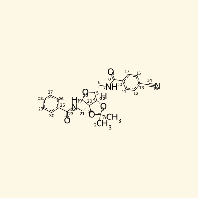 CC1(C)O[C@@H]2[C@@H](CNC(=O)c3ccc(C#N)cc3)OC[C@]2(CNC(=O)c2ccccc2)O1